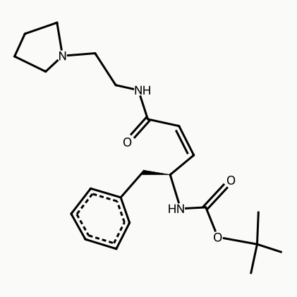 CC(C)(C)OC(=O)N[C@H](/C=C\C(=O)NCCN1CCCC1)Cc1ccccc1